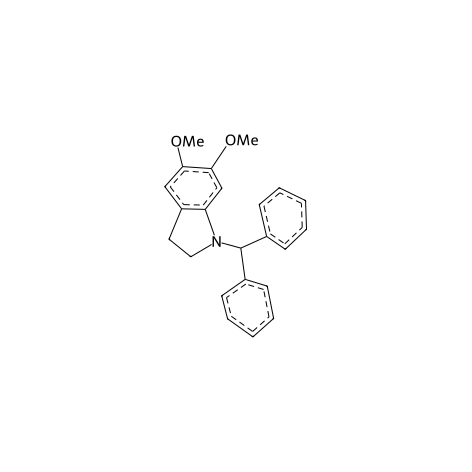 COc1cc2c(cc1OC)N(C(c1ccccc1)c1ccccc1)CC2